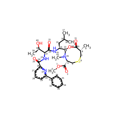 COC(=O)[C@H]1CSC[C@@H](C)C(=O)OB([C@H](CC(C)C)NC(=O)[C@@H](NC(=O)c2cccc(-c3ccccc3)n2)[C@@H](C)O)N1C